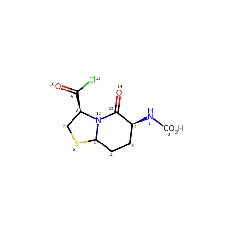 O=C(O)N[C@H]1CCC2SC[C@@H](C(=O)Cl)N2C1=O